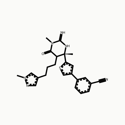 CN1C(=N)N[C@](C)(c2cc(-c3cccc(C#N)c3)cs2)C(CCCc2cnn(C)c2)C1=O